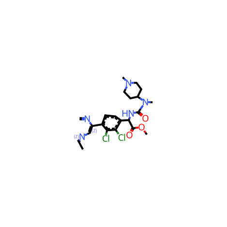 C=N/C(=C\N=C/C)c1ccc(C(NC(=O)N(C)C2CCN(C)CC2)C(=O)OC)c(Cl)c1Cl